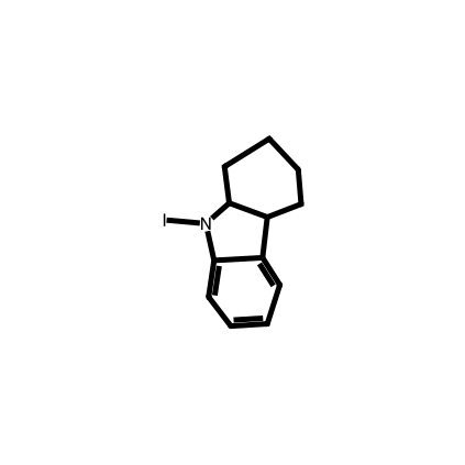 IN1c2ccccc2C2CCCCC21